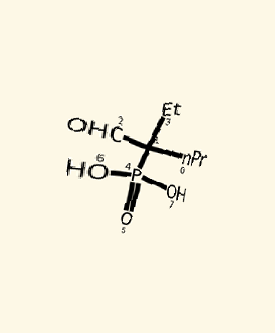 CCCC(C=O)(CC)P(=O)(O)O